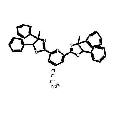 CC1(c2ccccc2)N=C(c2cccc(C3=NC(C)(c4ccccc4)C(c4ccccc4)O3)n2)OC1c1ccccc1.[Cl-].[Cl-].[Cl-].[Nd+3]